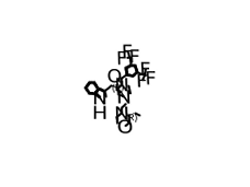 CC[C@@H]1COCCN1CCN1CCN(C(=O)c2cc(C(F)(F)F)cc(C(F)(F)F)c2)[C@H](Cc2c[nH]c3ccccc23)C1